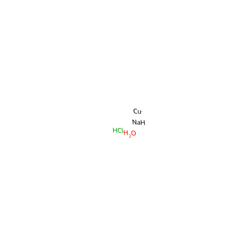 Cl.O.[Cu].[NaH]